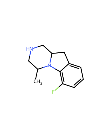 CC1CNCC2Cc3cccc(F)c3N12